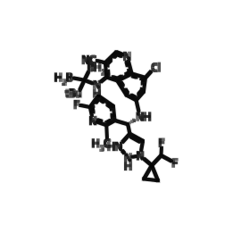 BC(B)(Nc1c(C#N)cnc2c(Cl)cc(N[C@H](C3=CN(C4(C(F)F)CC4)NN3)c3ccc(F)nc3C)cc12)C(C)(C)C